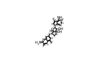 Nc1nc2cc(C[C@@H]3CC[C@@]4(O)[C@@H]3O[C@@H](n3cc(F)c5c(N)ncnc53)[C@@H]4O)cc(F)c2cc1F